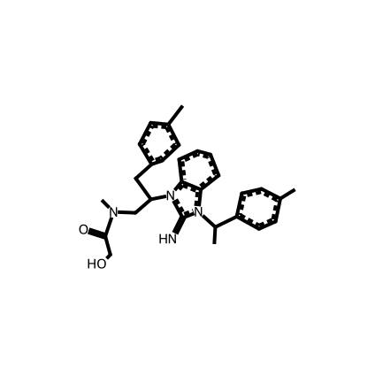 Cc1ccc(CC(CN(C)C(=O)CO)n2c(=N)n(C(C)c3ccc(C)cc3)c3ccccc32)cc1